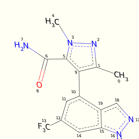 Cc1nn(C)c(C(N)=O)c1-c1cc(C(F)(F)F)cc2[nH]ncc12